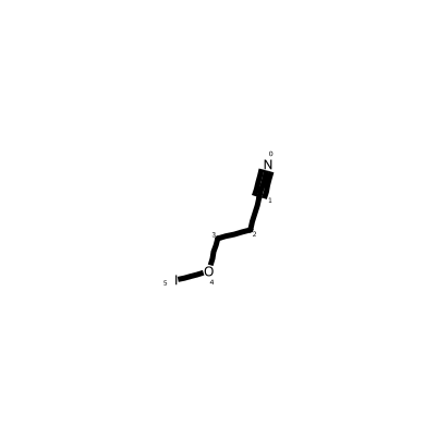 N#CCCOI